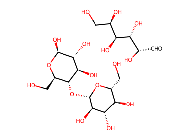 O=C[C@H](O)[C@@H](O)[C@@H](O)[C@H](O)CO.OC[C@H]1O[C@@H](O[C@H]2[C@H](O)[C@@H](O)[C@H](O)O[C@@H]2CO)[C@H](O)[C@@H](O)[C@@H]1O